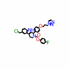 O=C(Oc1ccc(F)cc1)N1CCc2c([nH]c3ccc(CCl)cc23)C1c1ccc(OCCCn2ccnn2)cc1